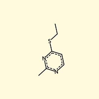 CCSc1ccnc(C)n1